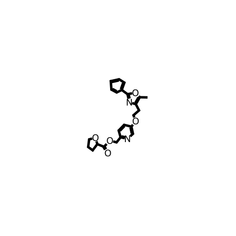 Cc1oc(-c2ccccc2)nc1CCOc1ccc(COC(=O)C2CCCO2)nc1